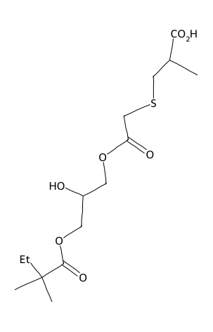 CCC(C)(C)C(=O)OCC(O)COC(=O)CSCC(C)C(=O)O